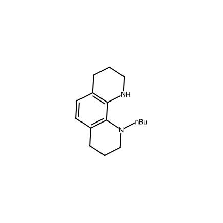 CCCCN1CCCc2ccc3c(c21)NCCC3